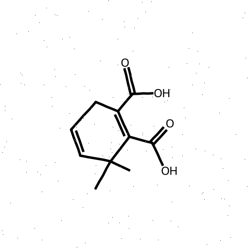 CC1(C)C=CCC(C(=O)O)=C1C(=O)O